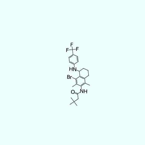 Cc1c(Br)c2c(c(C)c1NC(=O)CC(C)(C)C)CCCC2Nc1ccc(C(F)(F)F)cc1